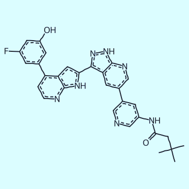 CC(C)(C)CC(=O)Nc1cncc(-c2cnc3[nH]nc(-c4cc5c(-c6cc(O)cc(F)c6)ccnc5[nH]4)c3c2)c1